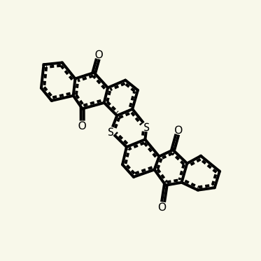 O=c1c2ccccc2c(=O)c2c1ccc1sc3c(ccc4c(=O)c5ccccc5c(=O)c43)sc12